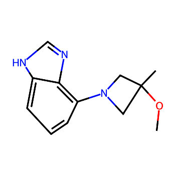 COC1(C)CN(c2cccc3[nH]cnc23)C1